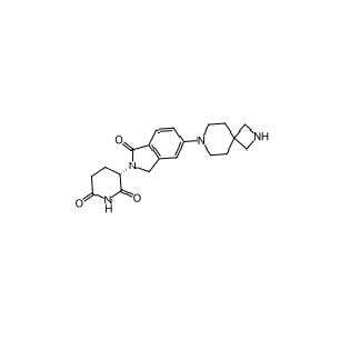 O=C1CC[C@H](N2Cc3cc(N4CCC5(CC4)CNC5)ccc3C2=O)C(=O)N1